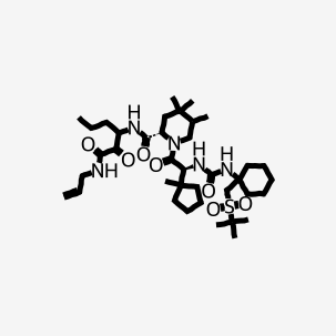 C=CCNC(=O)C(=O)C(CCC)NC(=O)[C@@H]1CC(C)(C)C(C)CN1C(=O)[C@@H](NC(=O)NC1(CS(=O)(=O)C(C)(C)C)CCCCC1)C1(C)CCCC1